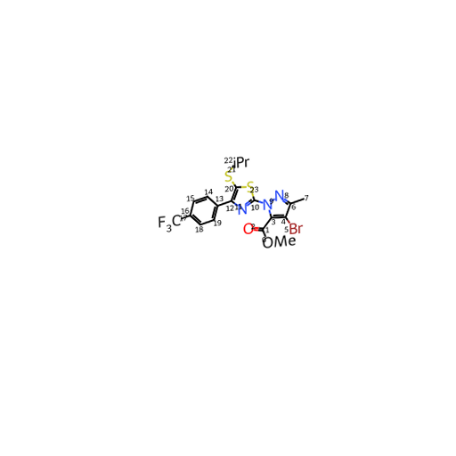 COC(=O)c1c(Br)c(C)nn1-c1nc(-c2ccc(C(F)(F)F)cc2)c(SC(C)C)s1